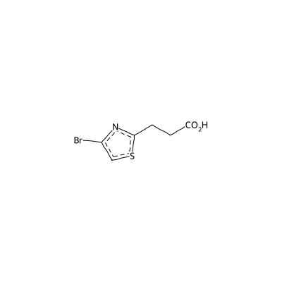 O=C(O)CCc1nc(Br)cs1